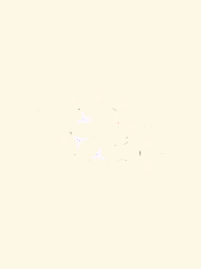 COc1cc(CN2CCN(C(=O)[C@H](CC(C)C)NC(=O)[C@@H]3O[C@H]3C(=O)O)CC2)cc(OC)c1OC